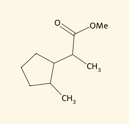 COC(=O)C(C)C1CCCC1C